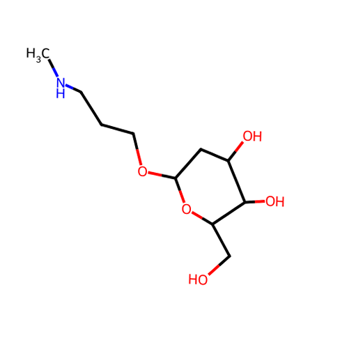 CNCCCOC1CC(O)C(O)C(CO)O1